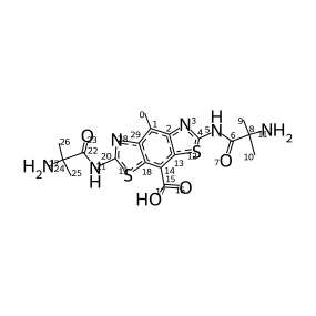 Cc1c2nc(NC(=O)C(C)(C)N)sc2c(C(=O)O)c2sc(NC(=O)C(C)(C)N)nc12